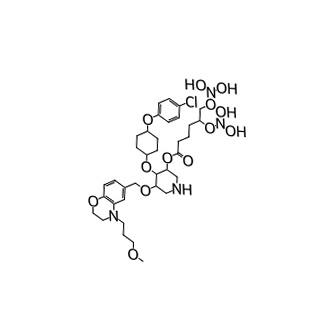 COCCCN1CCOc2ccc(COC3CNCC(OC(=O)CCCC(CON(O)O)ON(O)O)C3OC3CCC(Oc4ccc(Cl)cc4)CC3)cc21